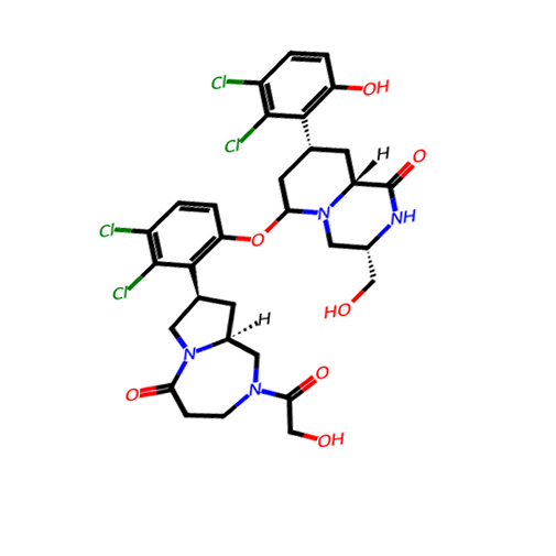 O=C1N[C@H](CO)CN2C(Oc3ccc(Cl)c(Cl)c3[C@H]3C[C@H]4CN(C(=O)CO)CCC(=O)N4C3)C[C@H](c3c(O)ccc(Cl)c3Cl)C[C@H]12